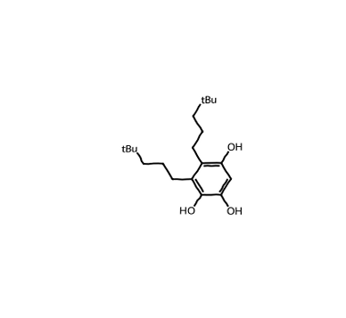 CC(C)(C)CCCc1c(O)cc(O)c(O)c1CCCC(C)(C)C